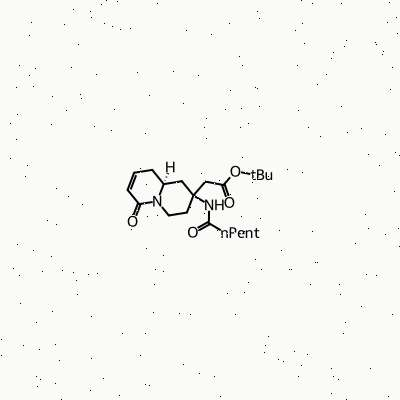 CCCCCC(=O)NC1(CC(=O)OC(C)(C)C)CCN2C(=O)C=CC[C@H]2C1